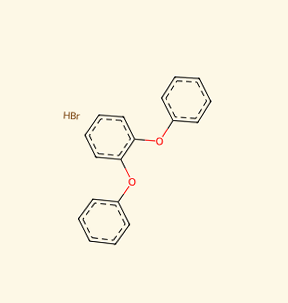 Br.c1ccc(Oc2ccccc2Oc2ccccc2)cc1